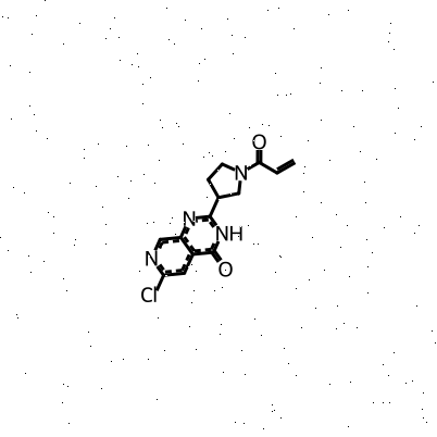 C=CC(=O)N1CCC(c2nc3cnc(Cl)cc3c(=O)[nH]2)C1